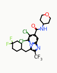 O=C(NC1CCOCC1)c1cc2nc(C(F)(F)F)c(CC3CCC(F)(F)CC3)n2c(Cl)c1Cl